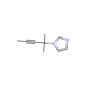 CC#CC(C)(C)n1ccnc1